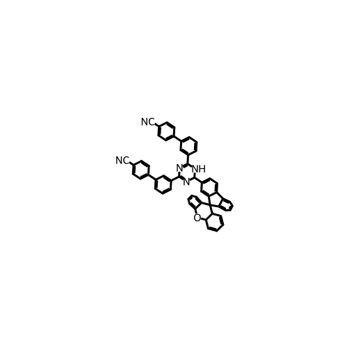 N#Cc1ccc(-c2cccc(C3=NC(c4ccc5c(c4)C4(c6ccccc6OC6C=CC=CC64)c4ccccc4-5)NC(c4cccc(-c5ccc(C#N)cc5)c4)=N3)c2)cc1